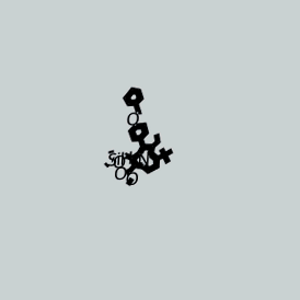 CCc1c(-c2ccc(OCc3ccccc3)cc2)c2c(CO[SiH](C)C)c(C(=O)OC)c3ccc(C(C)(C)C)c1n32